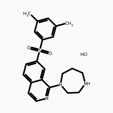 Cc1cc(C)cc(S(=O)(=O)c2ccc3ccnc(N4CCCNCC4)c3c2)c1.Cl